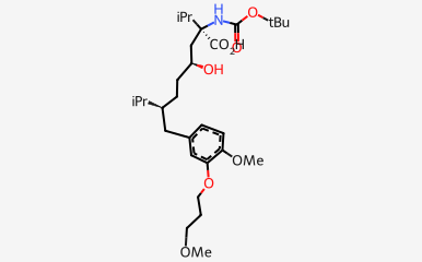 COCCCOc1cc(C[C@H](CC[C@H](O)C[C@@](NC(=O)OC(C)(C)C)(C(=O)O)C(C)C)C(C)C)ccc1OC